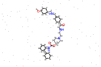 COc1ccc(CNCc2ccc(C(=O)CNCCN3CCC(OC(=O)Nc4ccccc4-c4ccccc4)CC3)cc2)cc1